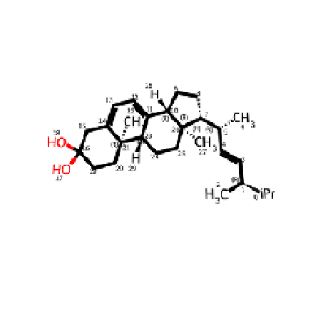 CC(C)[C@@H](C)C=C[C@@H](C)[C@H]1CC[C@H]2C3=CC=C4CC(O)(O)CC[C@]4(C)[C@H]3CC[C@]12C